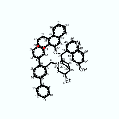 CCC1C[N+]2(Cc3cc(-c4ccccc4)ccc3-c3ccccc3)CCC1CC2[C@@H](Oc1cc2ccccc2c2ccccc12)c1ccnc2ccc(O)cc12